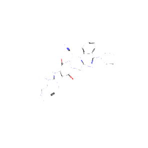 CC#CCn1c(N(C)CCN)nc2c(=O)n(CC#N)n(Cc3nc(N4CCOCC4)c4ccccc4n3)c(=O)c21